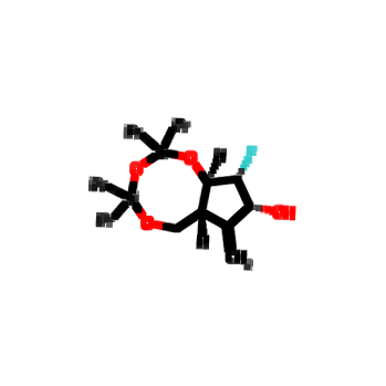 C=C1[C@@H](O)[C@@H](F)[C@@H]2O[Si](C(C)C)(C(C)C)O[Si](C(C)C)(C(C)C)OC[C@@H]12